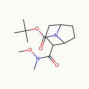 CON(C)C(=O)C1CCC2CCC1N2C(=O)OC(C)(C)C